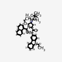 CCOc1ccc2ccccc2c1C(=O)N1C/C(=N/OC(C)(C)C)C[C@H]1C(=O)Nc1ccc2c(c1)c1ccccc1n2CC